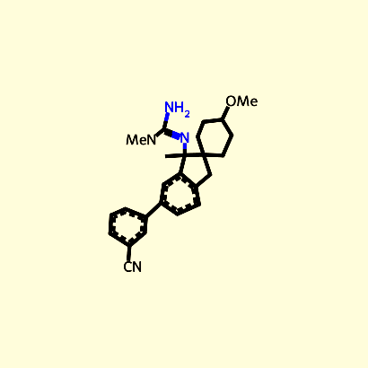 CN/C(N)=N\C1(C)c2cc(-c3cccc(C#N)c3)ccc2CC12CCC(OC)CC2